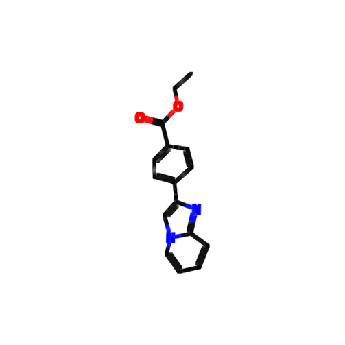 CCOC(=O)c1ccc(-c2cn3ccccc3n2)cc1